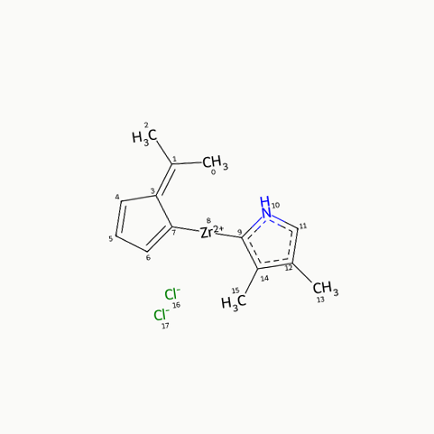 CC(C)=C1C=CC=[C]1[Zr+2][c]1[nH]cc(C)c1C.[Cl-].[Cl-]